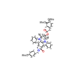 COc1ccc(CN2Cc3c(c4c5ccccc5n5c4c4c3c3ccccc3n4[C@H]3C[C@@H]5[C@H](OC(=O)Cc4ccc(OC)c(OC)c4)C3)C2=O)cc1